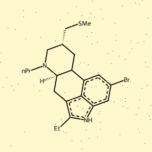 CCCN1C[C@H](CSC)CC2c3cc(Br)cc4[nH]c(CC)c(c34)C[C@H]21